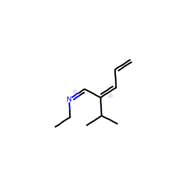 C=C/C=C(\C=N/CC)C(C)C